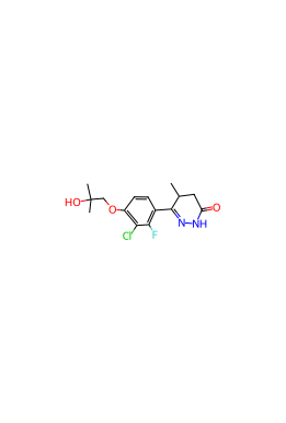 CC1CC(=O)NN=C1c1ccc(OCC(C)(C)O)c(Cl)c1F